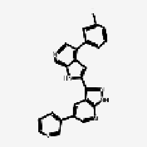 Fc1cccc(-c2cncc3[nH]c(-c4n[nH]c5ncc(-c6cccnc6)cc45)cc23)c1